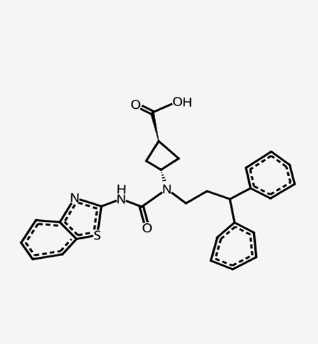 O=C(Nc1nc2ccccc2s1)N(CCC(c1ccccc1)c1ccccc1)[C@H]1C[C@H](C(=O)O)C1